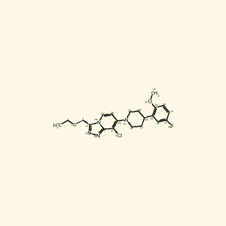 CCOCc1nnc2c(Cl)c(N3CCC(c4cc(F)ccc4OC)CC3)ccn12